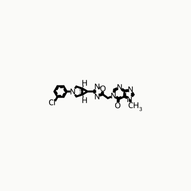 Cn1cnc2ncn(Cc3nc(C4[C@H]5CN(c6cccc(Cl)c6)C[C@@H]45)no3)c(=O)c21